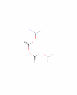 C=C(OC(=C)OC(C)I)OC(C)I